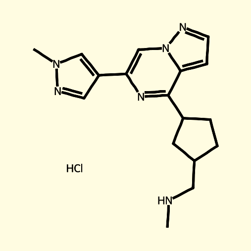 CNCC1CCC(c2nc(-c3cnn(C)c3)cn3nccc23)C1.Cl